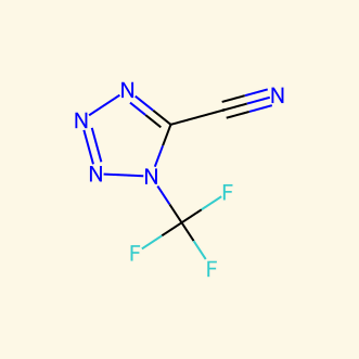 N#Cc1nnnn1C(F)(F)F